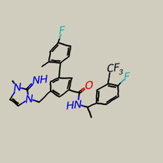 Cc1cc(F)ccc1-c1cc(Cn2ccn(C)c2=N)cc(C(=O)NC(C)c2ccc(F)c(C(F)(F)F)c2)c1